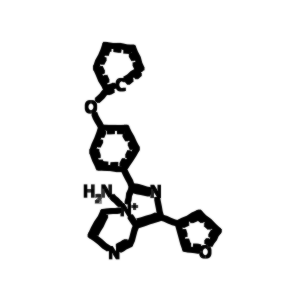 N[N+]12C=CN=CC1=C(c1ccoc1)N=C2c1ccc(Oc2ccccc2)cc1